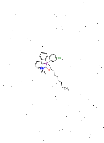 Br.CCCCCCCCCP(C(=O)NC)(c1ccccc1)(c1ccccc1)c1ccccc1